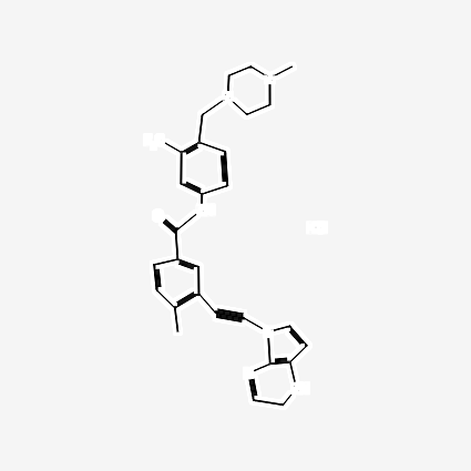 Cc1ccc(C(=O)Nc2ccc(CN3CCN(C)CC3)c(C(F)(F)F)c2)cc1C#Cn1ccc2c1N=CCN2.Cl